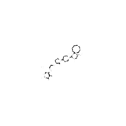 C[C@H](CN[C@@H]1CCN(C2CCN(C3NCC(C(F)(F)F)C4(CCCCCCC4)N3)CC2)C1=O)Nc1cn[nH]c(=O)c1C(F)(F)F